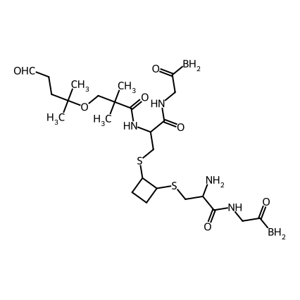 BC(=O)CNC(=O)C(N)CSC1CCC1SCC(NC(=O)C(C)(C)COC(C)(C)CCC=O)C(=O)NCC(B)=O